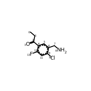 CCC(=O)c1cc(CN)c(Cl)cc1F